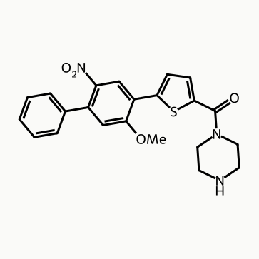 COc1cc(-c2ccccc2)c([N+](=O)[O-])cc1-c1ccc(C(=O)N2CCNCC2)s1